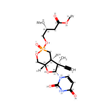 C#C[C@]1(C)[C@@H]2CP(=O)(OC[C@@H](CC(=O)OC(C)C)OC)OC[C@H]2O[C@H]1n1ccc(=O)[nH]c1=O